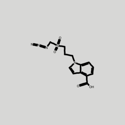 [N-]=[N+]=NCS(=O)(=O)CCCn1ccc2c(C(=O)O)cccc21